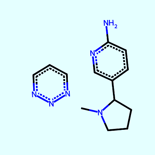 CN1CCCC1c1ccc(N)nc1.c1cnnnc1